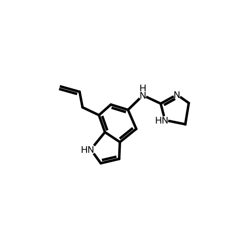 C=CCc1cc(NC2=NCCN2)cc2cc[nH]c12